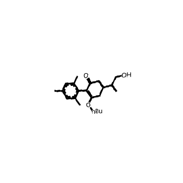 CCCCOC1=C(c2c(C)cc(C)cc2C)C(=O)CC(C(C)CO)C1